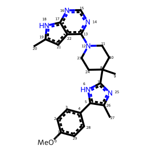 COc1ccc(-c2[nH]c(C3(C)CCN(c4ncnc5[nH]c(C)cc45)CC3)nc2C)cc1